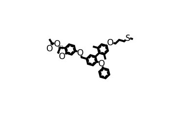 CSCCCOc1cc(C)c(-c2cc(COc3ccc4c(c3)OC[C@H]4OC(C)=O)ccc2Oc2ccccc2)c(C)c1